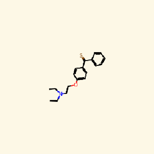 CCN(CC)CCOc1ccc(C(=S)c2ccccc2)cc1